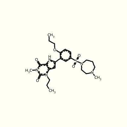 CCCOc1ccc(S(=O)(=O)N2CCCN(C)CC2)cc1-c1cc2c([nH]1)c(=O)n(C)c(=O)n2CCC